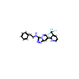 FC(F)(F)c1cccnc1-c1cnn2c(NCCc3ccccc3)nnc2c1